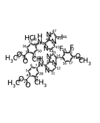 COC(=O)c1ccc(Nc2nccn3c(-c4ccc(OC)c(F)c4F)cnc23)cc1C.COC(=O)c1ccc(Nc2nccn3c(I)cnc23)cc1C.Cl